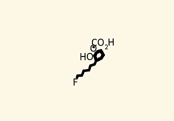 O=C(O)Oc1cccc(CCCCCCF)c1O